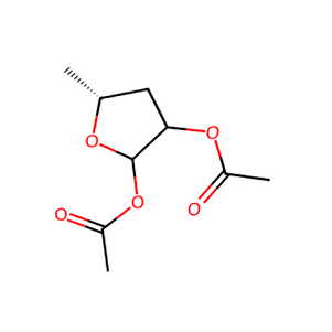 CC(=O)OC1C[C@@H](C)OC1OC(C)=O